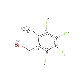 O=C(O)c1c(F)c(F)c(F)c(F)c1CBr